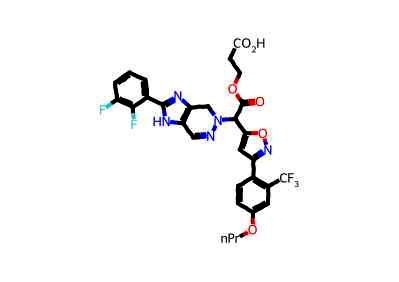 CCCOc1ccc(-c2cc(C(C(=O)OCCC(=O)O)N3Cc4nc(-c5cccc(F)c5F)[nH]c4C=N3)on2)c(C(F)(F)F)c1